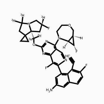 [2H]C1([2H])CC2(CC2)[C@]2(C([2H])([2H])Oc3nc(N4CCOC[C@H]5[C@H](F)[C@H]54)c4cnc(-c5cc(N)cc6ccc(F)c(C#C)c56)c(F)c4n3)C[C@@]([2H])(F)CN12